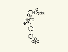 CC(C)(C)OC(=O)N1CCCO[C@H](C(=O)N[C@H](C#N)Cc2ccc(-c3cccc(OS(C)(=O)=O)c3)cc2)C1